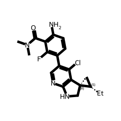 CC[C@H]1C[C@@]12CNc1ncc(-c3ccc(N)c(C(=O)N(C)C)c3F)c(Cl)c12